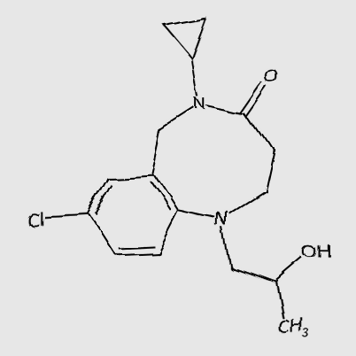 CC(O)CN1CCC(=O)N(C2CC2)Cc2cc(Cl)ccc21